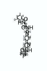 Cc1cccc(C(=O)NCC(=O)NC2CN([C@H]3CC[C@@H](c4ccc(NC(=O)C(F)(F)F)cn4)CC3)C2)c1